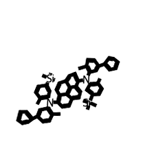 Cc1ccc(-c2ccccc2)cc1N(c1cc([Si](C)(C)C)ccc1C)c1ccc2ccc3c(N(c4cc(-c5ccccc5)ccc4C)c4cc([Si](C)(C)C)ccc4C)ccc4ccc1c2c43